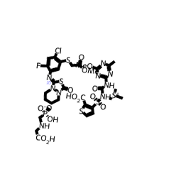 COC(=O)CSc1cc(/N=c2\sc(=O)n3n2CCCC3)c(F)cc1Cl.COc1nc(C)nc(NC(=O)NS(=O)(=O)c2ccsc2C(=O)O)n1.C[S+](C)C.O=C(O)CNCP(=O)([O-])O